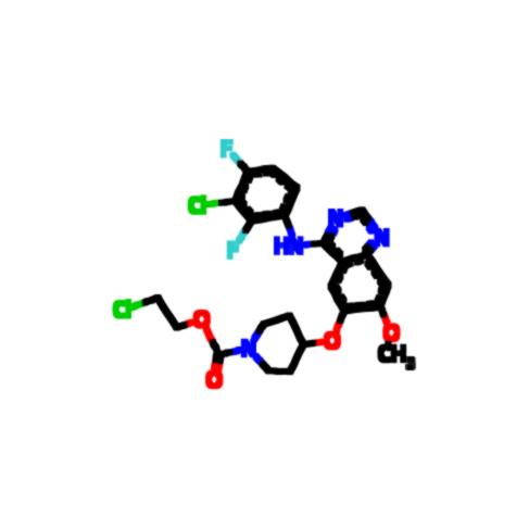 COc1cc2ncnc(Nc3ccc(F)c(Cl)c3F)c2cc1OC1CCN(C(=O)OCCCl)CC1